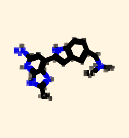 Cc1nc2c(-c3cc4cc(CN(C)C(C)C)ccc4[nH]3)cc(N)nc2[nH]1